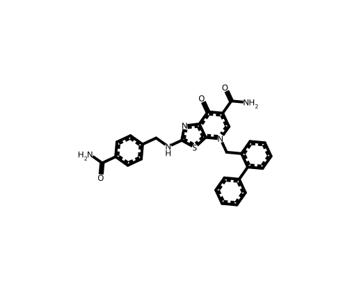 NC(=O)c1ccc(CNc2nc3c(=O)c(C(N)=O)cn(Cc4ccccc4-c4ccccc4)c3s2)cc1